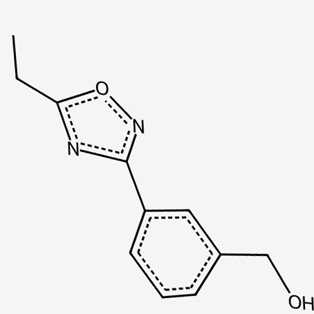 CCc1nc(-c2cccc(CO)c2)no1